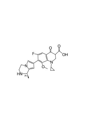 COc1c(-c2cc3n(c2)CCN[C@@H]3C)c(F)cc2c1N(C1CC1)CC(C(=O)O)C2=O